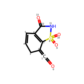 O=C=C1CC=CC2=C1S(=O)(=O)NC2=O